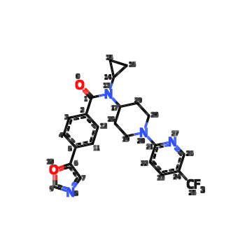 O=C(c1ccc(-c2cnco2)cc1)N(C1CC1)C1CCN(c2ccc(C(F)(F)F)cn2)CC1